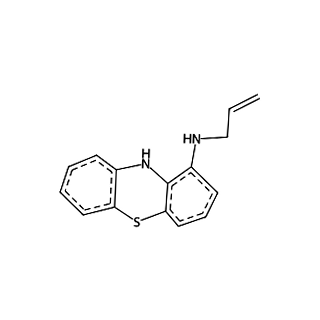 C=CCNc1cccc2c1Nc1ccccc1S2